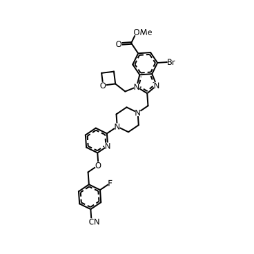 COC(=O)c1cc(Br)c2nc(CN3CCN(c4cccc(OCc5ccc(C#N)cc5F)n4)CC3)n(CC3CCO3)c2c1